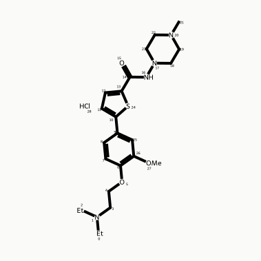 CCN(CC)CCOc1ccc(-c2ccc(C(=O)NN3CCN(C)CC3)s2)cc1OC.Cl